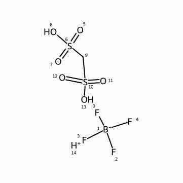 F[B-](F)(F)F.O=S(=O)(O)CS(=O)(=O)O.[H+]